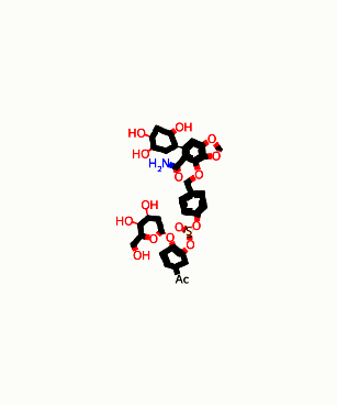 CC(=O)C1C=CC(O[C@H]2C[C@@H](O)[C@@H](O)C(CO)O2)=C(OS(=O)Oc2ccc(COc3c4c(cc([C@@H]5C[C@H](O)[C@H](O)CC5O)c3C(N)=O)OCO4)cc2)C1